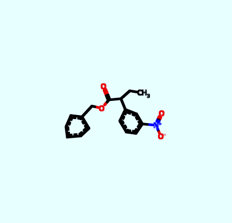 CCC(C(=O)OCc1ccccc1)c1cccc([N+](=O)[O-])c1